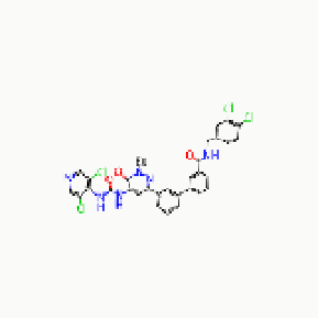 CCn1nc(-c2cccc(-c3cccc(C(=O)NCc4ccc(Cl)c(Cl)c4)c3)c2)cc(NC(=O)Nc2c(Cl)cncc2Cl)c1=O